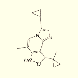 Cc1cn2c(C3CC3)cnc2c2c1NOC2C1(C)CC1